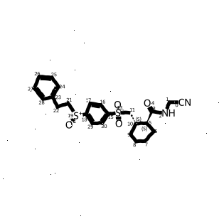 N#CCNC(=O)[C@H]1CCCC[C@@H]1CS(=O)(=O)c1ccc([S+]([O-])CCc2ccccc2)cc1